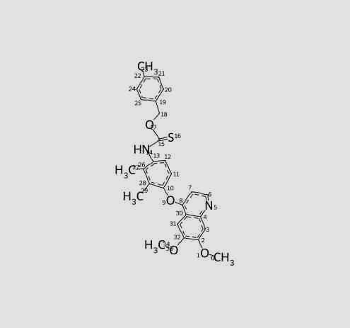 COc1cc2nccc(Oc3ccc(NC(=S)OCc4ccc(C)cc4)c(C)c3C)c2cc1OC